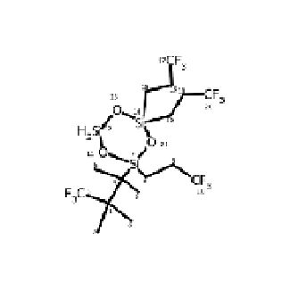 CC(C)(C(F)(F)F)C(C)(C)[Si]1(CCC(F)(F)F)O[SiH2]O[Si](CCC(F)(F)F)(CCC(F)(F)F)O1